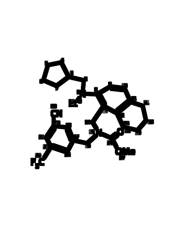 CCN(CC1CCCC1)c1ccc2c(c1CN(Cc1cc(C#N)cc(C(F)(F)F)c1)C(=O)OC)CCCC2